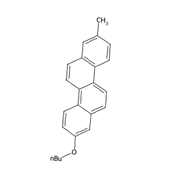 CCCCOc1ccc2c(ccc3c4ccc(C)cc4ccc23)c1